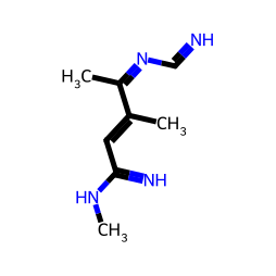 CNC(=N)/C=C(C)/C(C)=N\C=N